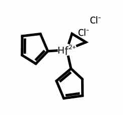 C1=CC[C]([Hf+2]2([C]3=CC=CC3)[CH2][CH2]2)=C1.[Cl-].[Cl-]